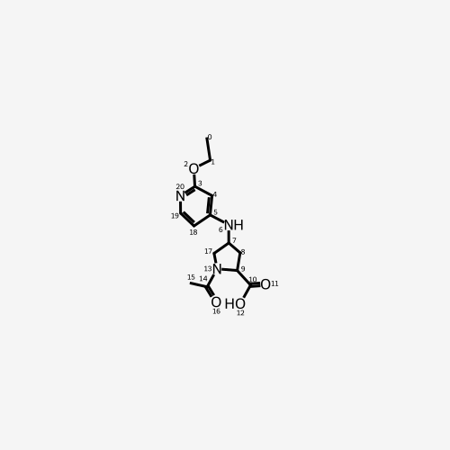 CCOc1cc(NC2CC(C(=O)O)N(C(C)=O)C2)ccn1